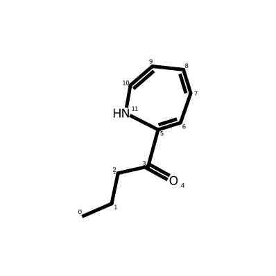 CC[CH]C(=O)C1=CC=CC=CN1